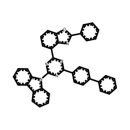 c1ccc(-c2ccc(-c3nc(-c4cccc5oc(-c6ccccc6)nc45)nc(-n4c5ccccc5c5ccccc54)n3)cc2)cc1